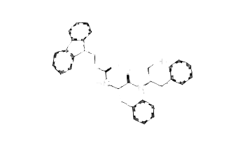 O=C(N[C@@H](Cc1ccccc1)C(=O)N[C@@H](CO)Cc1ccccc1)OCC1c2ccccc2-c2ccccc21